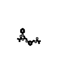 C=C(C)C(=O)OCc1cccc(OCC(COc2ccccc2)OC(=O)C(=C)C)c1